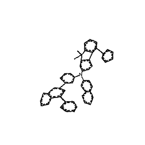 CC1(C)c2cc(N(c3cccc(-c4cc(-c5ccccc5)c5ccccc5c4)c3)c3ccc4ccccc4c3)ccc2-c2c(-c3ccccc3)cccc21